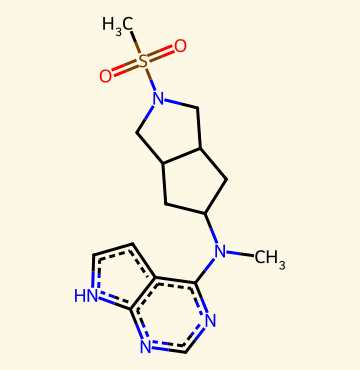 CN(c1ncnc2[nH]ccc12)C1CC2CN(S(C)(=O)=O)CC2C1